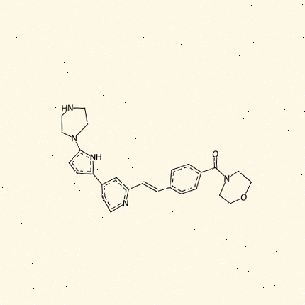 O=C(c1ccc(C=Cc2cc(-c3ccc(N4CCNCC4)[nH]3)ccn2)cc1)N1CCOCC1